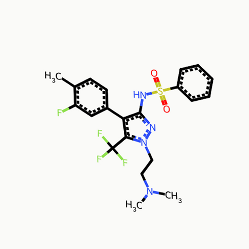 Cc1ccc(-c2c(NS(=O)(=O)c3ccccc3)nn(CCN(C)C)c2C(F)(F)F)cc1F